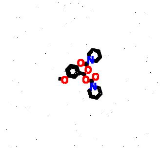 COc1cccc(C(OC(=O)N2CCCCC2)OC(=O)N2CCCCC2)c1